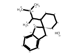 CC(C1CCCC[C@@]12Cc1ccccc1O2)N(C)C.Cl